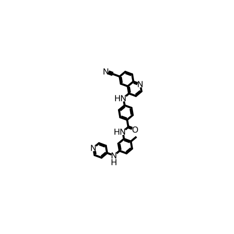 Cc1ccc(Nc2ccncc2)cc1NC(=O)c1ccc(Nc2ccnc3ccc(C#N)cc23)cc1